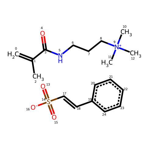 C=C(C)C(=O)NCCC[N+](C)(C)C.O=S(=O)([O-])C=Cc1ccccc1